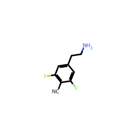 N#Cc1c(F)cc(CCN)cc1F